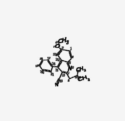 COc1ccc2nc(CC(C)C)c(C#N)c(-c3ccccc3)c2c1